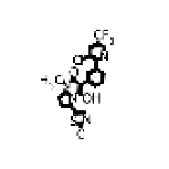 Cn1c2[n+](c(O)c(-c3cccc(-c4ncc(C(F)(F)F)cc4Cl)c3)c1=O)C(c1cnc(Cl)s1)CC2